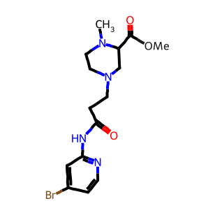 COC(=O)C1CN(CCC(=O)Nc2cc(Br)ccn2)CCN1C